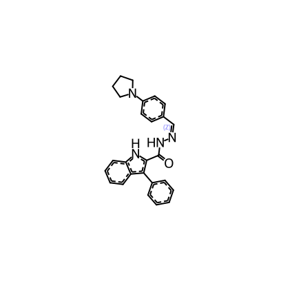 O=C(N/N=C\c1ccc(N2CCCC2)cc1)c1[nH]c2ccccc2c1-c1ccccc1